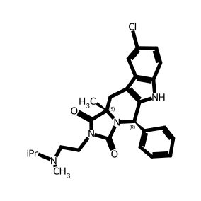 CC(C)N(C)CCN1C(=O)N2[C@H](c3ccccc3)c3[nH]c4ccc(Cl)cc4c3C[C@@]2(C)C1=O